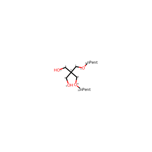 CCCCCOCC(CO)(CO)COCCCCC